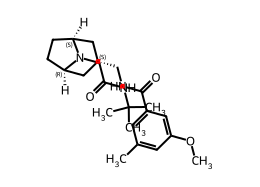 COc1cc(C)cc(C(=O)NC[C@@H]2C[C@H]3CC[C@@H](C2)N3CC(=O)NC(C)(C)C)c1